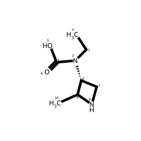 CCN(C(=O)O)[C@@H]1CNC1C